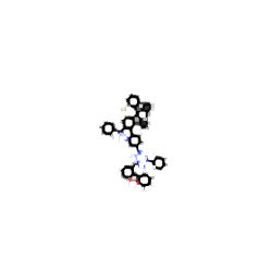 c1ccc(-c2nc(-c3ccc4c(c3)nc(-c3ccccc3)c3cc5c(cc34)C3(c4ccccc4S5)c4ccccc4-c4ccccc43)nc(-c3cccc4oc5ccccc5c34)n2)cc1